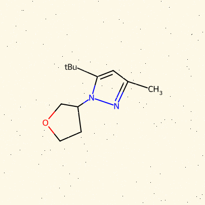 Cc1cc(C(C)(C)C)n(C2CCOC2)n1